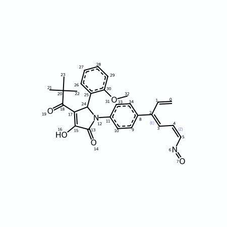 C=C/C(=C\C=C/N=O)c1ccc(N2C(=O)C(O)=C(C(=O)C(C)(C)C)C2c2ccccc2OC)cc1